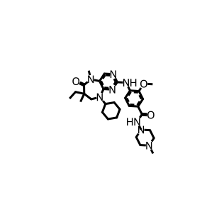 CCC1(C)CN(C2CCCCC2)c2nc(Nc3ccc(C(=O)NN4CCN(C)CC4)cc3OC)ncc2N(C)C1=O